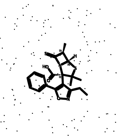 CCc1noc(-c2ccccc2)c1[C@@]1(C(=O)O)N2C(=S)[C@@H](C)[C@H]2SC1(C)C